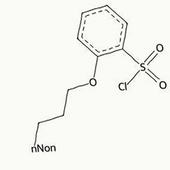 CCCCCCCCCCCCOc1ccccc1S(=O)(=O)Cl